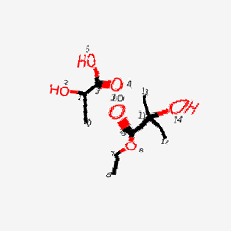 CC(O)C(=O)O.CCOC(=O)C(C)(C)O